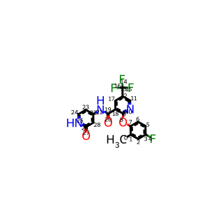 Cc1cc(F)ccc1Oc1ncc(C(F)(F)F)cc1C(=O)Nc1cc[nH]c(=O)c1